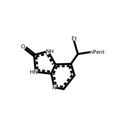 CCCCCC(CC)c1ccnc2[nH]c(=O)[nH]c12